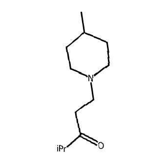 CC1CCN(CCC(=O)C(C)C)CC1